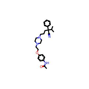 CC(=O)Nc1ccc(OCCN2CCN(CCCC(C#N)(c3ccccc3)C(C)C)CC2)cc1